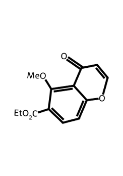 CCOC(=O)c1ccc2occc(=O)c2c1OC